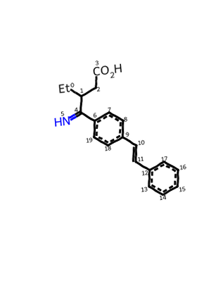 CCC(CC(=O)O)C(=N)c1ccc(C=Cc2ccccc2)cc1